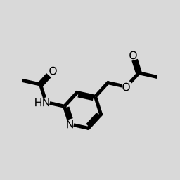 CC(=O)Nc1cc(COC(C)=O)ccn1